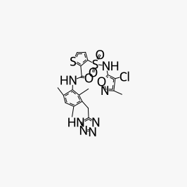 Cc1cc(C)c(NC(=O)c2sccc2S(=O)(=O)Nc2onc(C)c2Cl)c(C)c1Cc1nnn[nH]1